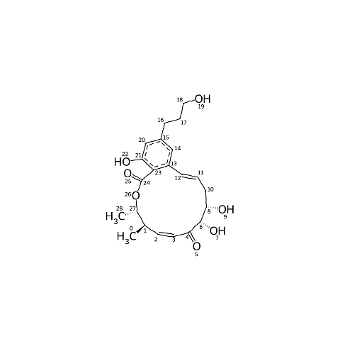 C[C@@H]1/C=C\C(=O)[C@@H](O)[C@@H](O)C/C=C/c2cc(CCCO)cc(O)c2C(=O)O[C@H]1C